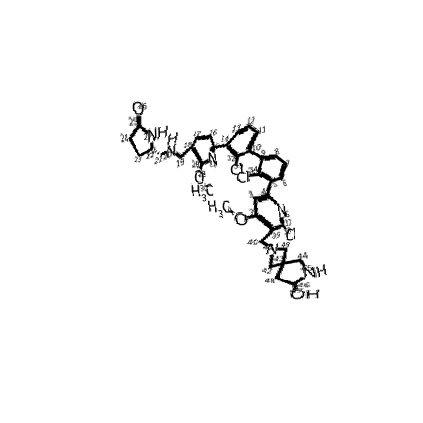 COc1cc(-c2cccc(-c3cccc(-c4ccc(CNC[C@@H]5CCC(=O)N5)c(OC)n4)c3Cl)c2Cl)nc(Cl)c1CN1CC2(CNC(O)C2)C1